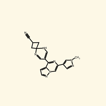 Cn1cc(-c2cn3nccc3c(C3=CNC4(CC(C#N)C4)N=C3)n2)cn1